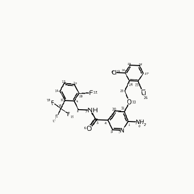 Nc1ncc(C(=O)NCc2c(F)cccc2C(F)(F)F)cc1OCc1c(Cl)cccc1Cl